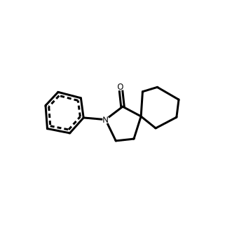 O=C1N(c2ccccc2)CCC12CCCCC2